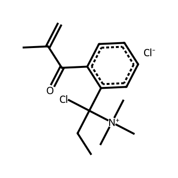 C=C(C)C(=O)c1ccccc1C(Cl)(CC)[N+](C)(C)C.[Cl-]